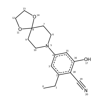 CCc1cc(N2CCC3(CC2)OCCO3)cc(O)c1C#N